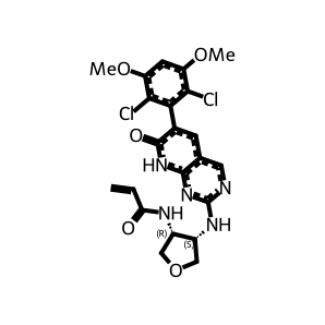 C=CC(=O)N[C@H]1COC[C@H]1Nc1ncc2cc(-c3c(Cl)c(OC)cc(OC)c3Cl)c(=O)[nH]c2n1